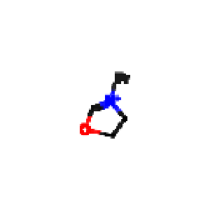 CC(C)[N+]1=COCC1